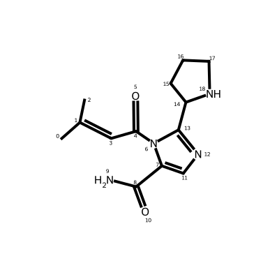 CC(C)=CC(=O)n1c(C(N)=O)cnc1C1CCCN1